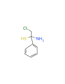 NC(S)(CCl)c1ccccc1